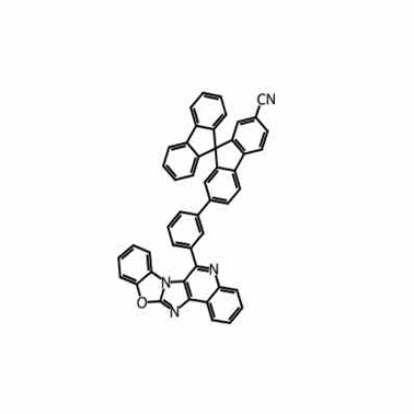 N#Cc1ccc2c(c1)C1(c3ccccc3-c3ccccc31)c1cc(-c3cccc(-c4nc5ccccc5c5nc6oc7ccccc7n6c45)c3)ccc1-2